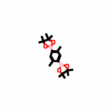 Cc1cc(B2OC(C)(C)C(C)(C)O2)c(C)cc1B1OC(C)(C)C(C)(C)O1